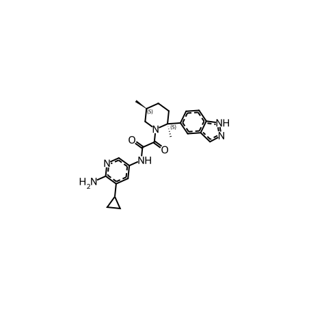 C[C@H]1CC[C@@](C)(c2ccc3[nH]ncc3c2)N(C(=O)C(=O)Nc2cnc(N)c(C3CC3)c2)C1